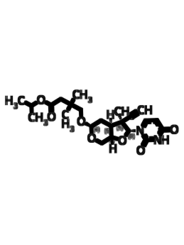 C#C[C@]1(C)[C@@H]2C[C@H](OCC(C)(C)CC(=O)OC(C)C)OC[C@H]2O[C@H]1n1ccc(=O)[nH]c1=O